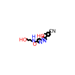 Cc1cc(C#N)ccc1-c1cnn(-c2ccc(C(=O)NCCCCO)cn2)c1O